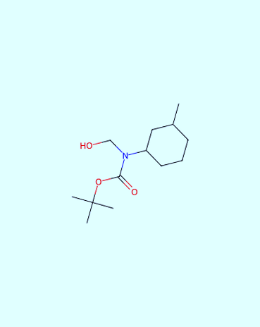 CC1CCCC(N(CO)C(=O)OC(C)(C)C)C1